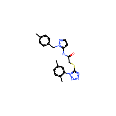 Cc1ccc(Cn2nccc2NC(=O)CSc2nnnn2-c2cc(C)ccc2C)cc1